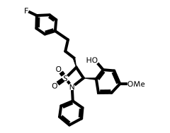 COc1ccc([C@@H]2[C@H](CCCc3ccc(F)cc3)S(=O)(=O)N2c2ccccc2)c(O)c1